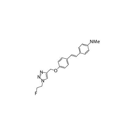 CNc1ccc(/C=C/c2ccc(OCc3cn(CCF)nn3)cc2)cc1